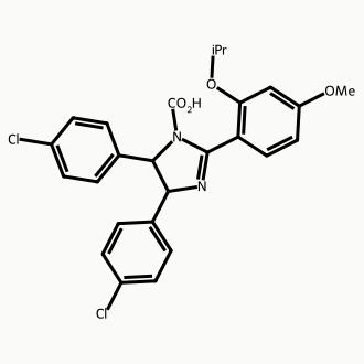 COc1ccc(C2=NC(c3ccc(Cl)cc3)C(c3ccc(Cl)cc3)N2C(=O)O)c(OC(C)C)c1